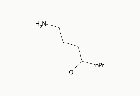 CCCC(O)CCCN